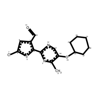 Cc1nc(-c2sc(Cl)cc2C=O)ncc1OC1CCCCC1